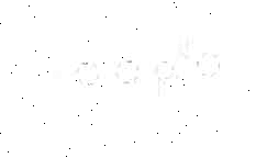 COc1ccc(-c2ccc(-c3cc(Nc4ccccc4)n[nH]3)cc2)c(OC)c1